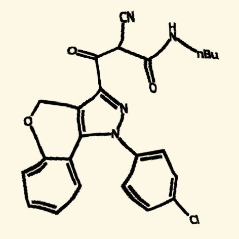 CCCCNC(=O)C(C#N)C(=O)c1nn(-c2ccc(Cl)cc2)c2c1COc1ccccc1-2